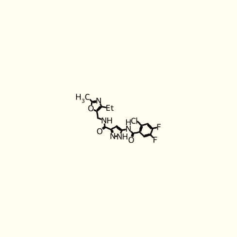 CCc1nc(C)oc1CNC(=O)c1cc(NC(=O)c2cc(F)c(F)cc2Cl)[nH]n1